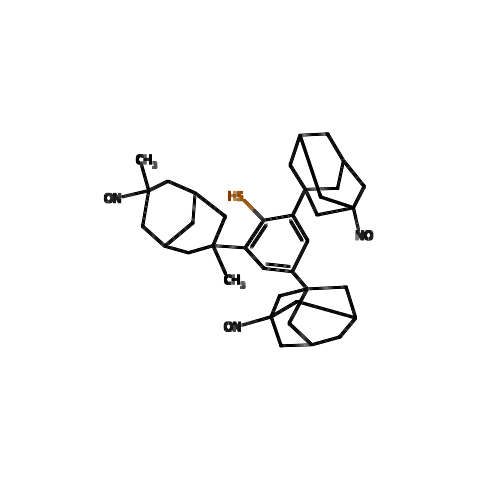 CC1(N=O)CC2CC(C1)CC(C)(c1cc(C34CC5CC(CC(N=O)(C5)C3)C4)cc(C34CC5CC(CC(N=O)(C5)C3)C4)c1S)C2